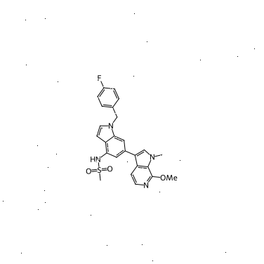 COc1nccc2c(-c3cc(NS(C)(=O)=O)c4ccn(Cc5ccc(F)cc5)c4c3)cn(C)c12